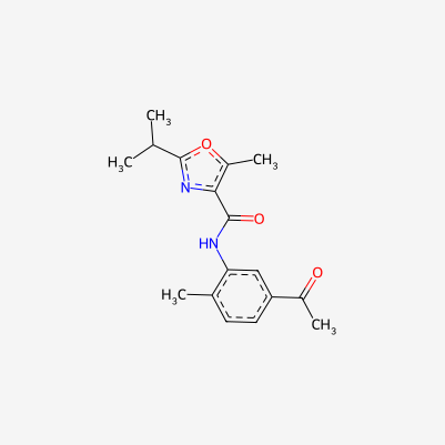 CC(=O)c1ccc(C)c(NC(=O)c2nc(C(C)C)oc2C)c1